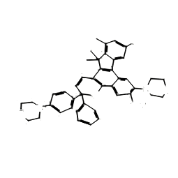 COc1cc2c3c(c4c(c2cc1N1CCOCC1)-c1cc(F)cc(C)c1C4(C)C)C=CC(c1ccccc1)(c1ccc(N2CCOCC2)cc1)O3